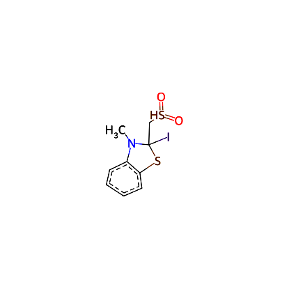 CN1c2ccccc2SC1(I)C[SH](=O)=O